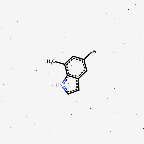 Cc1cc(C(C)C)cc2cc[nH]c12